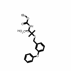 CC(C)(C)OC(=O)N[C@H](C(=O)O)C(C)(C)SCc1cccc(Oc2ccccc2)c1